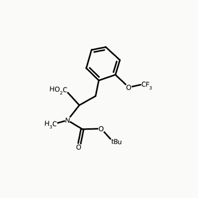 CN(C(=O)OC(C)(C)C)C(Cc1ccccc1OC(F)(F)F)C(=O)O